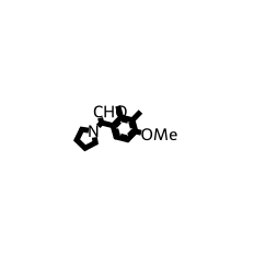 COc1ccc(C(C=O)N2CCCC2)c(C)c1C